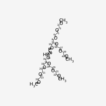 COCCOCCOCC(COP=NPOCC(COCCOCCOC)OCCOCCOC)OCCOCCOC